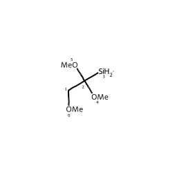 COCC([SiH2])(OC)OC